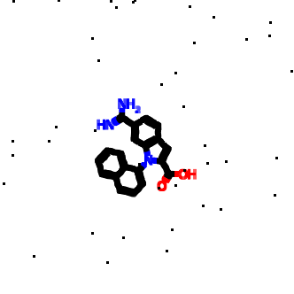 N=C(N)c1ccc2cc(C(=O)O)n(-c3cccc4ccccc34)c2c1